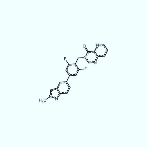 Cn1cc2cc(-c3cc(F)c(Cn4cnc5cccnc5c4=O)c(F)c3)ccc2n1